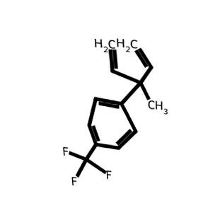 C=CC(C)(C=C)c1ccc(C(F)(F)F)cc1